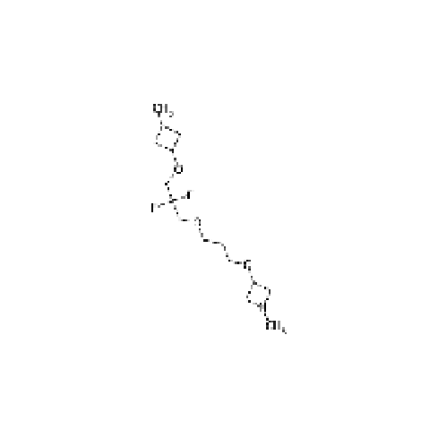 CC1CC(OCC(F)(F)COCCCOC2CN(C)C2)C1